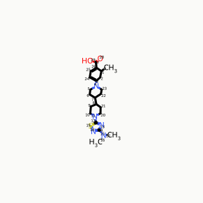 CC1CC(N2CCC(C3CCN(c4nc(N(C)C)ns4)CC3)CC2)=CC=C1C(=O)O